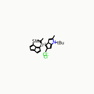 CSC1=CC=C2C=C[C]([Zr+2]([C]3=C(C)C=C4C3C=C(C)N4C(C)(C)C)=[C](C)C)=C21.[Cl-].[Cl-]